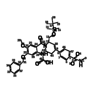 CNS(=O)(=O)c1ccc(C2=CC(CO[Si](C)(C)C(C)(C)C)N(C(=O)c3cc(OC)c(OCc4ccccc4)cc3NC(=O)O)CC2)cc1